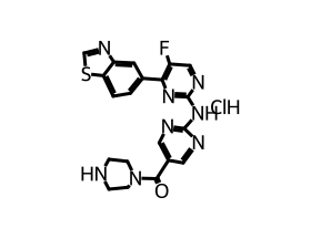 Cl.O=C(c1cnc(Nc2ncc(F)c(-c3ccc4scnc4c3)n2)nc1)N1CCNCC1